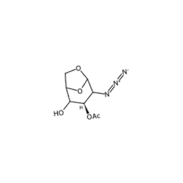 CC(=O)O[C@H]1C(O)C2COC(O2)C1N=[N+]=[N-]